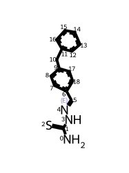 NC(=S)N/N=C/c1ccc(Cc2ccccc2)cc1